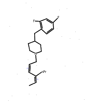 C/C=C(\C=C/CN1CCC(Cc2ccc(F)cc2F)CC1)CCC